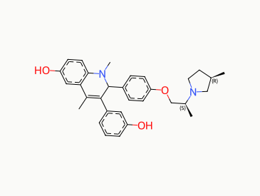 CC1=C(c2cccc(O)c2)C(c2ccc(OC[C@H](C)N3CC[C@@H](C)C3)cc2)N(C)c2ccc(O)cc21